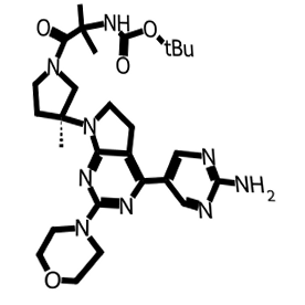 CC(C)(C)OC(=O)NC(C)(C)C(=O)N1CC[C@](C)(N2CCc3c(-c4cnc(N)nc4)nc(N4CCOCC4)nc32)C1